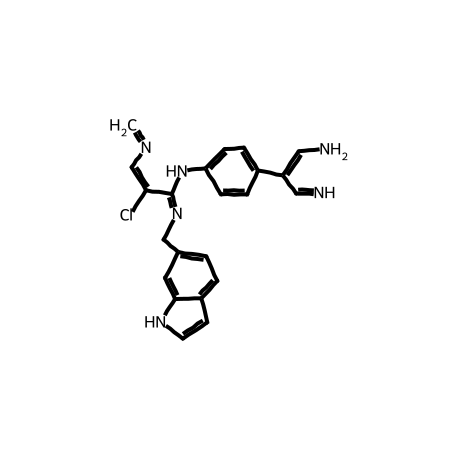 C=N/C=C(Cl)\C(=N/Cc1ccc2cc[nH]c2c1)Nc1ccc(/C(C=N)=C/N)cc1